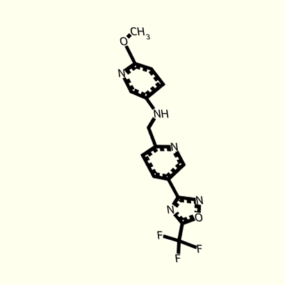 COc1ccc(NCc2ccc(-c3noc(C(F)(F)F)n3)cn2)cn1